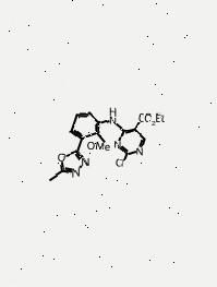 CCOC(=O)c1cnc(Cl)nc1Nc1cccc(-c2nnc(C)o2)c1OC